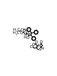 CC(C)(C)OC(=O)NNC(=O)C(c1ccc(OC(=O)C2=C(CCl)CS[C@H]3CC(=O)N23)cc1)C(c1ccccc1)c1ccccc1